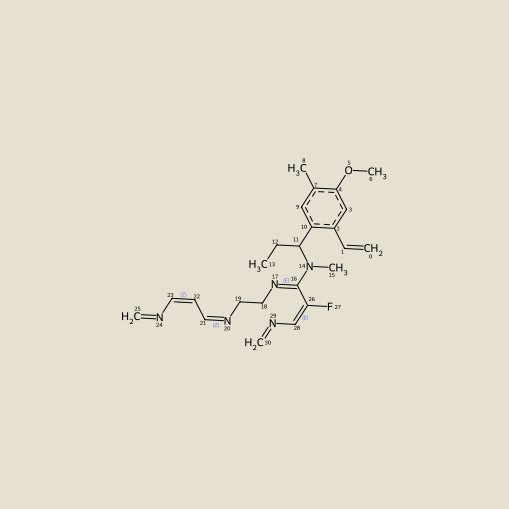 C=Cc1cc(OC)c(C)cc1C(CC)N(C)C(=N/CC/N=C\C=C/N=C)/C(F)=C\N=C